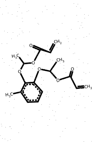 C=CC(=O)OC(C)Oc1cccc(C)c1OC(C)OC(=O)C=C